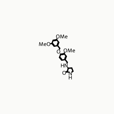 COc1cc(COc2ccc(CNC3CCNC3=O)cc2OC)cc(OC)c1